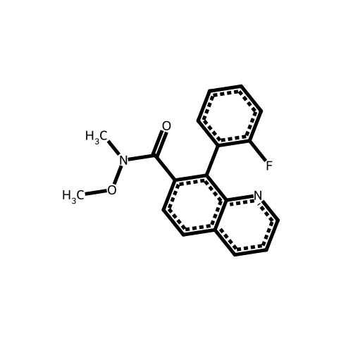 CON(C)C(=O)c1ccc2cccnc2c1-c1ccccc1F